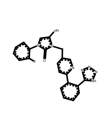 CCCc1cn(-c2ccccc2F)c(=O)n1Cc1ccc(-c2ccccc2-c2nnn[nH]2)nc1